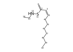 C=C(/C=C\CCCCCCC)SNCC